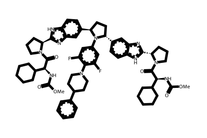 COC(=O)N[C@H](C(=O)N1CCC[C@H]1c1nc2cc([C@H]3CC[C@H](c4ccc5[nH]c([C@@H]6CCCN6C(=O)[C@@H](NC(=O)OC)C6CCCCC6)nc5c4)N3c3cc(F)c(N4CCC(c5ccccc5)CC4)c(F)c3)ccc2[nH]1)C1CCCCC1